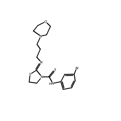 S=C(Nc1cccc(Br)c1)N1CCSC1=NCCCN1CCOCC1